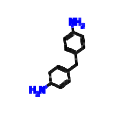 Nc1ccc(CC2=CCC(N)C=C2)cc1